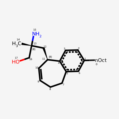 CCCCCCCCc1ccc2c(c1)CCC=C[C@H]2C[C@@](C)(N)CO